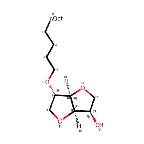 CCCCCCCCCCCCO[C@H]1CO[C@H]2[C@@H]1OC[C@H]2O